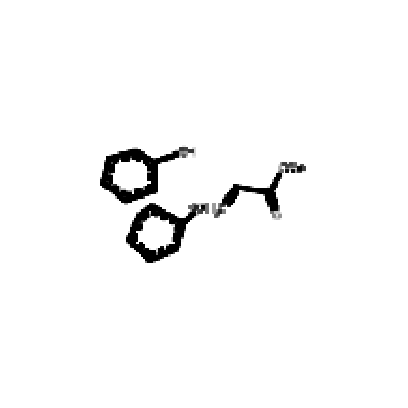 C=CC(=O)OC.Oc1ccccc1.Oc1ccccc1